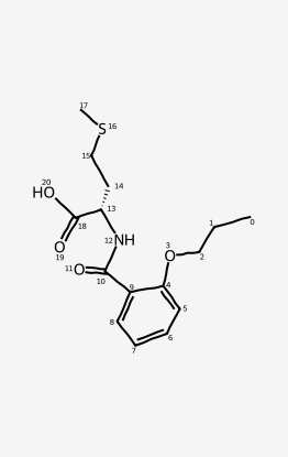 CCCOc1ccccc1C(=O)N[C@@H](CCSC)C(=O)O